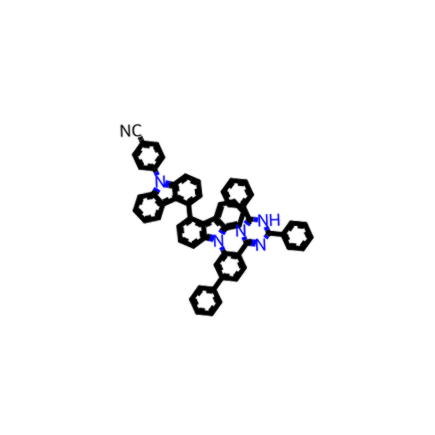 N#Cc1ccc(-n2c3ccccc3c3c(-c4cccc5c4c4c(n5-c5cc(-c6ccccc6)ccc5C5=NC(c6ccccc6)NC(c6ccccc6)=N5)=CCCC=4)cccc32)cc1